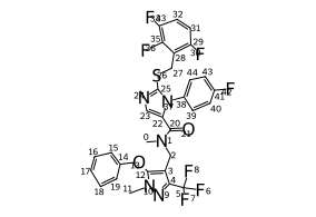 CN(Cc1c(C(F)(F)F)nn(C)c1Oc1ccccc1)C(=O)c1cnc(SCc2c(F)ccc(F)c2F)n1-c1ccc(F)cc1